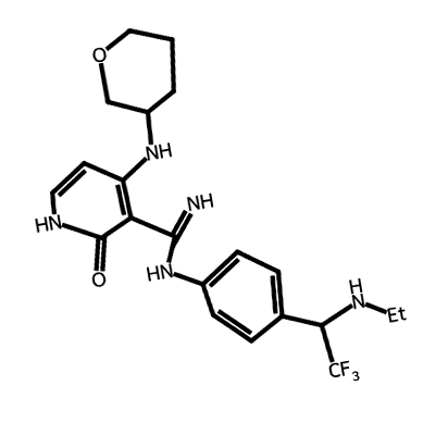 CCNC(c1ccc(NC(=N)c2c(NC3CCCOC3)cc[nH]c2=O)cc1)C(F)(F)F